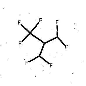 FC(F)C(C(F)F)C(F)(F)F